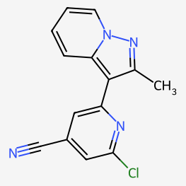 Cc1nn2ccccc2c1-c1cc(C#N)cc(Cl)n1